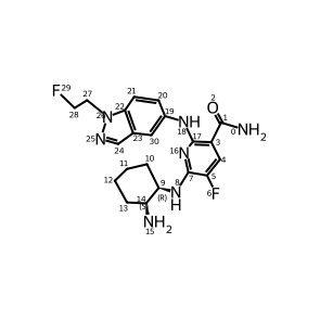 NC(=O)c1cc(F)c(N[C@@H]2CCCC[C@@H]2N)nc1Nc1ccc2c(cnn2CCF)c1